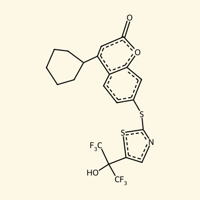 O=c1cc(C2CCCCC2)c2ccc(Sc3ncc(C(O)(C(F)(F)F)C(F)(F)F)s3)cc2o1